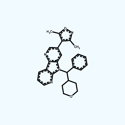 Cc1noc(C)c1-c1cnc2c3cccnc3n(C(c3ccccc3)C3CCOCC3)c2c1